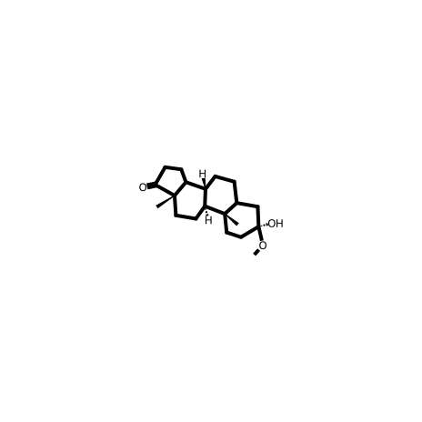 CO[C@@]1(O)CC[C@@]2(C)C(CC[C@H]3C4CCC(=O)[C@@]4(C)CC[C@@H]32)C1